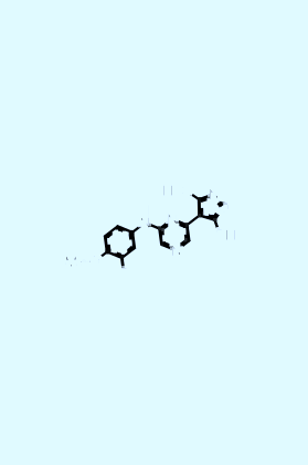 COc1ccc(Nc2cncc(-c3c(C)noc3C)n2)cc1F